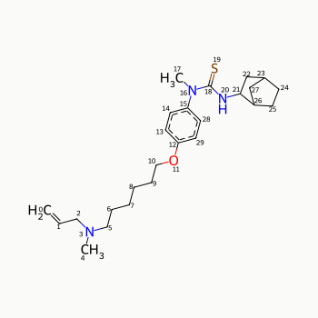 C=CCN(C)CCCCCCOc1ccc(N(C)C(=S)NC2CC3CCC2C3)cc1